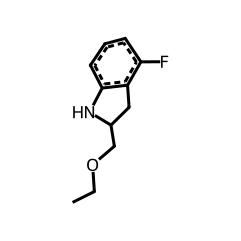 CCOCC1Cc2c(F)cccc2N1